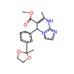 COC(=O)C1=C(C)Nc2nccn2C1c1cccc(C2(C)OCCO2)c1